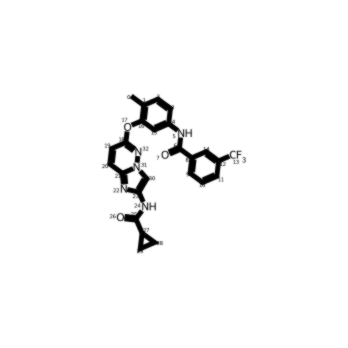 Cc1ccc(NC(=O)c2cccc(C(F)(F)F)c2)cc1Oc1ccc2nc(NC(=O)C3CC3)cn2n1